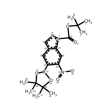 CC(C)(C)OC(=O)n1ncc2cc(B3OC(C)(C)C(C)(C)O3)c([N+](=O)[O-])cc21